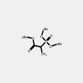 CCCCOC(=O)C(C)P(=O)(OCCCC)OCCCC